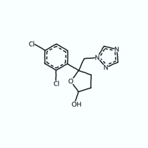 OC1CCC(Cn2cncn2)(c2ccc(Cl)cc2Cl)O1